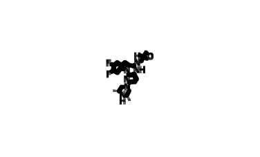 C[C@@H]1CN(c2ccc3c(n2)-n2c(cc4cc(F)c(F)cc42)C(NCC2(C)COC2)N3)C[C@H](C)N1